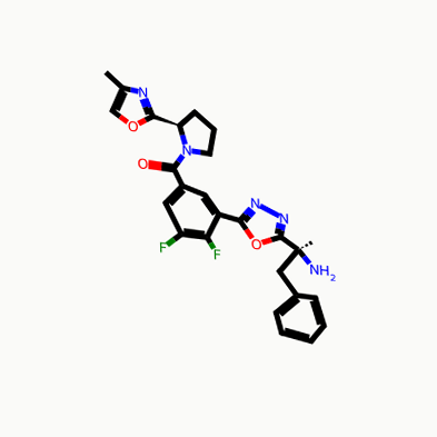 Cc1coc([C@H]2CCCN2C(=O)c2cc(F)c(F)c(-c3nnc([C@@](C)(N)Cc4ccccc4)o3)c2)n1